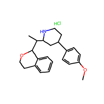 COc1ccc(C2CCNC(C(C)C3OCCc4ccccc43)C2)cc1.Cl